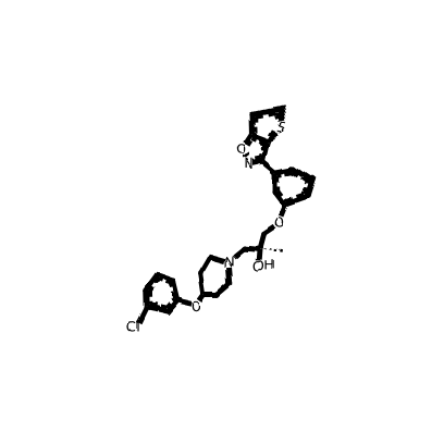 C[C@@](O)(COc1cccc(-c2noc3ccsc23)c1)CN1CCC(Oc2cccc(Cl)c2)CC1